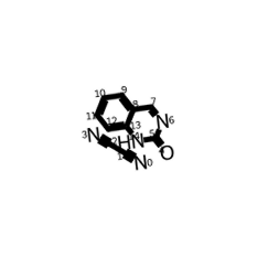 N#CC#N.O=c1ncc2ccccc2[nH]1